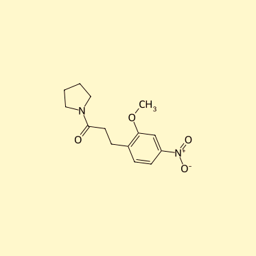 COc1cc([N+](=O)[O-])ccc1CCC(=O)N1CCCC1